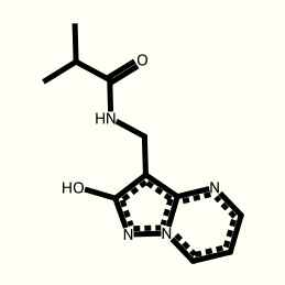 CC(C)C(=O)NCc1c(O)nn2cccnc12